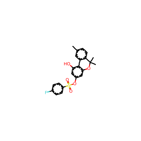 Cc1ccc2c(c1)-c1c(O)cc(OS(=O)(=O)c3ccc(F)cc3)cc1OC2(C)C